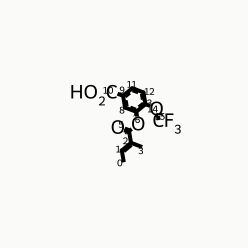 C/C=C(\C)C(=O)Oc1cc(C(=O)O)ccc1OC(F)(F)F